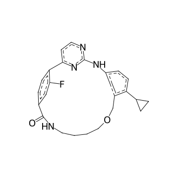 O=C1NCCCCOCc2cc(ccc2C2CC2)Nc2nccc(n2)-c2ccc1cc2F